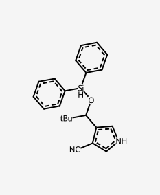 CC(C)(C)C(O[SiH](c1ccccc1)c1ccccc1)c1c[nH]cc1C#N